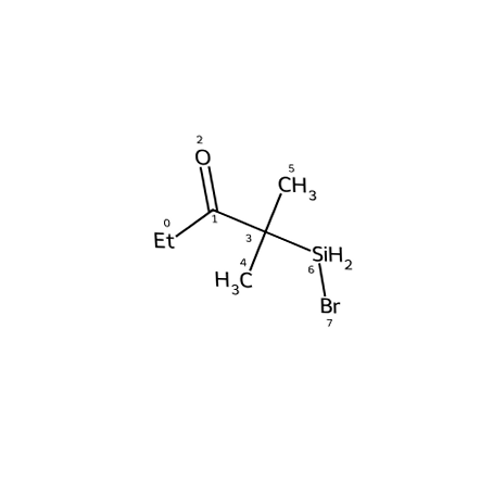 CCC(=O)C(C)(C)[SiH2]Br